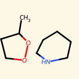 C1CCNCC1.CC1CCOO1